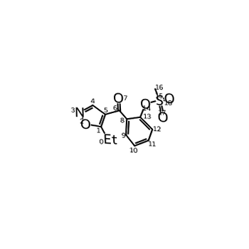 CCc1oncc1C(=O)c1ccccc1OS(C)(=O)=O